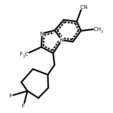 Cc1cn2c(CC3CCC(F)(F)CC3)c(C(F)(F)F)nc2cc1C#N